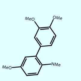 CNc1ccc(OC)cc1-c1ccc(OC)c(OC)c1